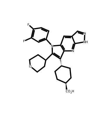 O=C(O)[C@H]1CC[C@H](c2c(C3CCOCC3)n(-c3ccc(F)c(F)c3)c3cc4cn[nH]c4nc32)CC1